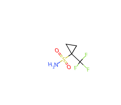 NS(=O)(=O)C1(C(F)(F)F)CC1